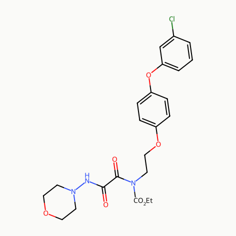 CCOC(=O)N(CCOc1ccc(Oc2cccc(Cl)c2)cc1)C(=O)C(=O)NN1CCOCC1